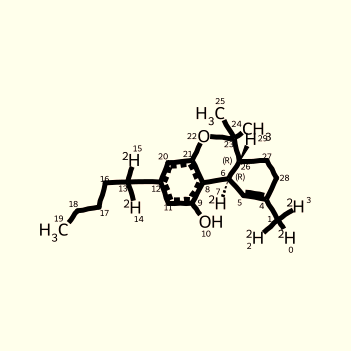 [2H]C([2H])([2H])C1=C[C@@]2([2H])c3c(O)cc(C([2H])([2H])CCCC)cc3OC(C)(C)[C@@H]2CC1